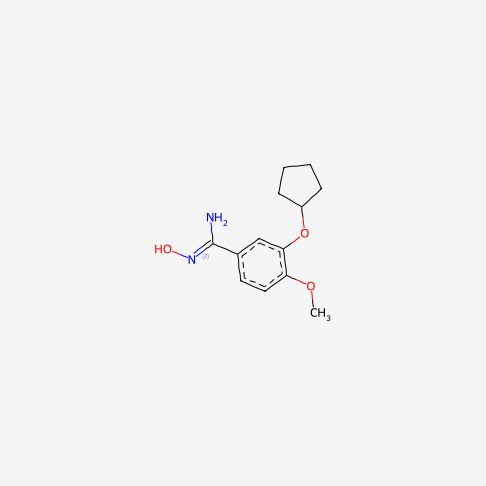 COc1ccc(/C(N)=N/O)cc1OC1CCCC1